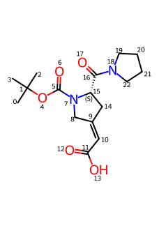 CC(C)(C)OC(=O)N1CC(=CC(=O)O)C[C@H]1C(=O)N1CCCC1